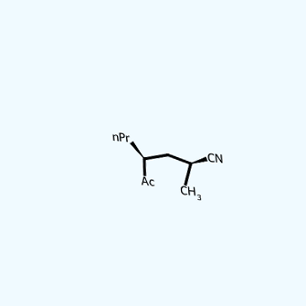 CCC[C@@H](C[C@H](C)C#N)C(C)=O